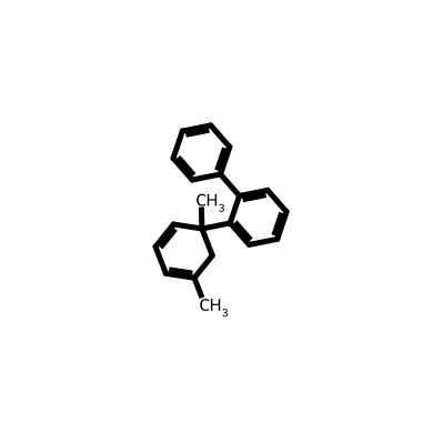 CC1=CC=CC(C)(c2ccccc2-c2ccccc2)C1